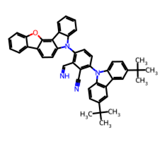 CC(C)(C)c1ccc2c(c1)c1cc(C(C)(C)C)ccc1n2-c1ccc(-n2c3ccccc3c3c4oc5ccccc5c4ccc32)c(C=N)c1C#N